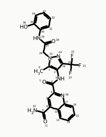 Cc1c(NC(=O)c2cc(C(N)=O)c3ccccc3n2)c(C(F)(F)F)nn1CC(=O)Nc1ccccc1O